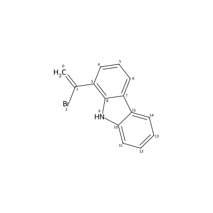 C=C(Br)c1cccc2c1[nH]c1ccccc12